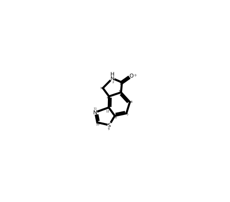 O=C1NCc2c1ccc1scnc21